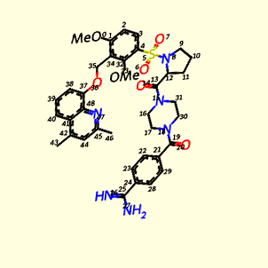 COc1ccc(S(=O)(=O)N2CCCC2C(=O)N2CCN(C(=O)c3ccc(C(=N)N)cc3)CC2)c(OC)c1COc1cccc2c(C)cc(C)nc12